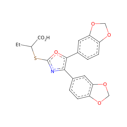 CCC(Sc1nc(-c2ccc3c(c2)OCO3)c(-c2ccc3c(c2)OCO3)o1)C(=O)O